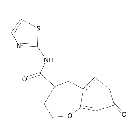 O=C1C=C2OCCC(C(=O)Nc3nccs3)CC2=CC1